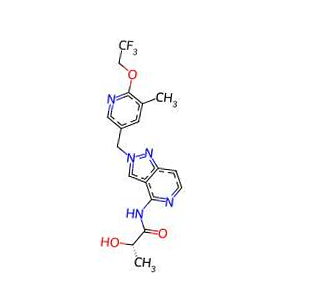 Cc1cc(Cn2cc3c(NC(=O)[C@H](C)O)nccc3n2)cnc1OCC(F)(F)F